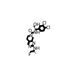 C[C@H](CF)Nc1ncc2c(n1)CN(C(=O)N[C@H](CO)c1ccc(Cl)c(Cl)c1)CC2